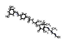 CC/C=C/C=C(C)/C=C/C1=C(C)C(=O)C(OC(=O)CCC(=O)Oc2ccc(/C=C/c3cc(O)cc(O)c3)cc2)CC1(C)C